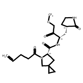 C=CCCC(=O)N1CC2(CC2)C[C@H]1C(=O)N[C@@H](C[C@@H]1CCNC1=O)C(=O)COC(F)(F)F